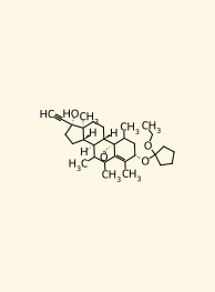 C#C[C@]1(O)CC[C@H]2[C@@H]3C(C)C(C)C4=C(C)[C@@H](OC5(OCC)CCCC5)CC(C)[C@]4(C=O)[C@H]3CC[C@@]21C